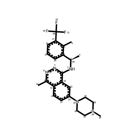 Cc1c([C@@H](C)Nc2nnc(C)c3ccc(N4CCN(C)CC4)cc23)cccc1C(F)(F)F